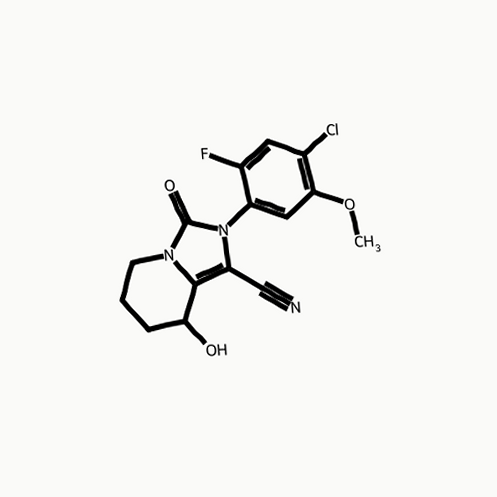 COc1cc(-n2c(C#N)c3n(c2=O)CCCC3O)c(F)cc1Cl